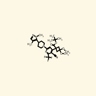 COC1(OC)CC(C(=O)OC(C)(C)C)(c2cc(N3CCC(c4c(C)cnn4C)CC3)nc(C(F)(F)F)c2C#N)C1